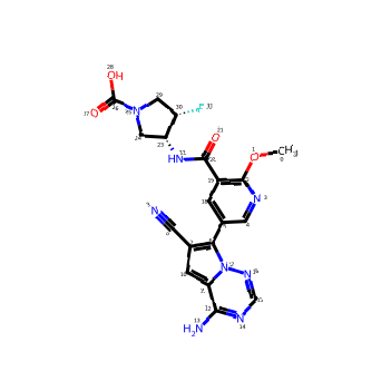 COc1ncc(-c2c(C#N)cc3c(N)ncnn23)cc1C(=O)N[C@@H]1CN(C(=O)O)C[C@@H]1F